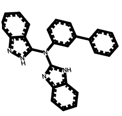 c1ccc(-c2cccc(N(c3nc4ccccc4[nH]3)c3[nH]nc4ccccc34)c2)cc1